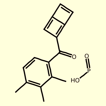 Cc1ccc(C(=O)c2cc3ccc2-3)c(C)c1C.O=PO